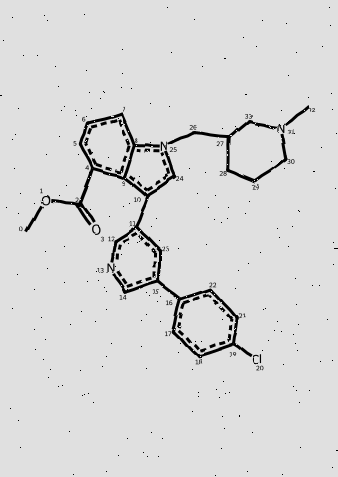 COC(=O)c1cccc2c1c(-c1cncc(-c3ccc(Cl)cc3)c1)cn2CC1CCCN(C)C1